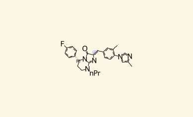 CCCN1CC[C@H](c2ccc(F)cc2)N2C(=O)/C(=C/c3ccc(-n4cnc(C)c4)c(C)c3)N=C12